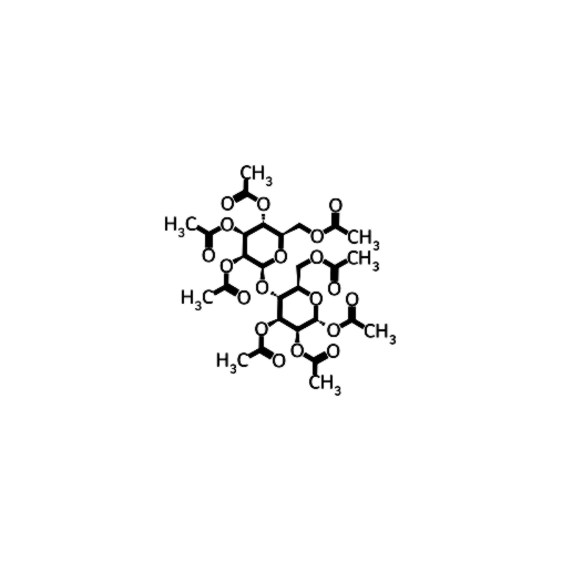 CC(=O)OC[C@H]1O[C@@H](O[C@H]2[C@H](OC(C)=O)[C@H](OC(C)=O)[C@@H](OC(C)=O)O[C@@H]2COC(C)=O)[C@@H](OC(C)=O)[C@@H](OC(C)=O)[C@@H]1OC(C)=O